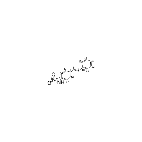 O=[N+]([O-])Nc1ccc(C=Cc2ccccc2)cc1